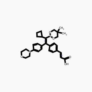 CC1(C)COB(/C(=C(\c2ccc(/C=C/C(=O)O)cc2)c2ccc(N3CCOCC3)cc2)C2CCC2)OC1